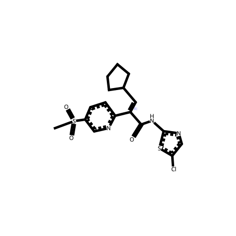 CS(=O)(=O)c1ccc(/C(=C\C2CCCC2)C(=O)Nc2ncc(Cl)s2)nc1